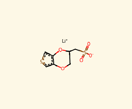 O=S(=O)([O-])CC1COc2cscc2O1.[Li+]